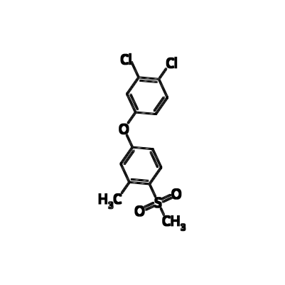 Cc1cc(Oc2ccc(Cl)c(Cl)c2)ccc1S(C)(=O)=O